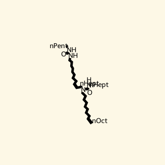 CCCCCCCC/C=C\CCCCCCCCN(C(=O)NCCCCCCC)C(/C=C\CCCCCCCCNC(=O)NCCCCC)CCCCCCC